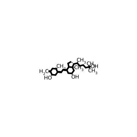 C=C1CC(=C)[C@H](O)C/C1=C/C=C1C[C@H](O)C[C@@]2(C)C1CC[C@@H]2[C@@H](C)CCCC(C)(C)O